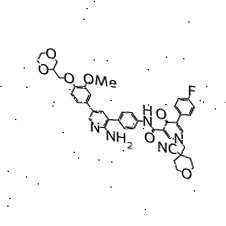 COc1cc(-c2cnc(N)c(-c3ccc(NC(=O)c4cn(CC5(C#N)CCOCC5)cc(-c5ccc(F)cc5)c4=O)cc3)c2)ccc1OCC1COCCO1